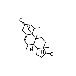 CC1C=C2CC(=O)CC(C)[C@]2(CO)[C@@H]2CC[C@]3(C)C(O)CC[C@H]3[C@H]12